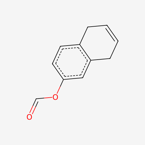 O=COc1ccc2c(c1)CC=CC2